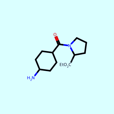 CCOC(=O)C1CCCN1C(=O)C1CCC(N)CC1